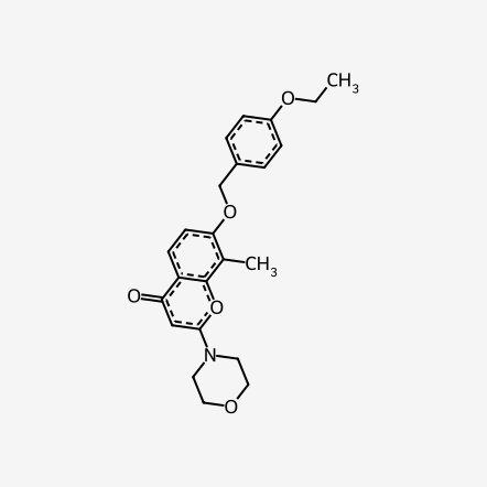 CCOc1ccc(COc2ccc3c(=O)cc(N4CCOCC4)oc3c2C)cc1